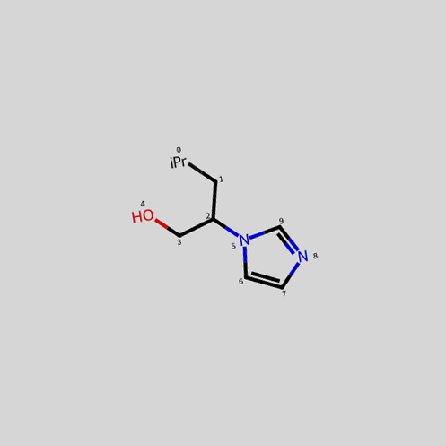 CC(C)CC(CO)n1ccnc1